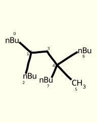 CCCC[C](CCCC)CC(C)(CCCC)CCCC